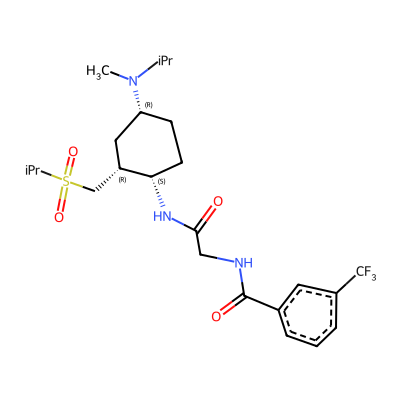 CC(C)N(C)[C@@H]1CC[C@H](NC(=O)CNC(=O)c2cccc(C(F)(F)F)c2)[C@H](CS(=O)(=O)C(C)C)C1